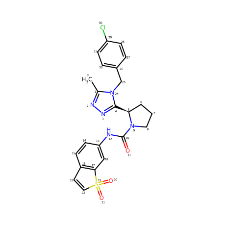 Cc1nnc([C@H]2CCCN2C(=O)Nc2ccc3c(c2)S(=O)(=O)C=C3)n1Cc1ccc(Cl)cc1